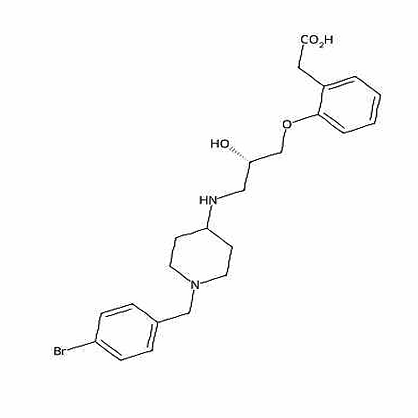 O=C(O)Cc1ccccc1OC[C@@H](O)CNC1CCN(Cc2ccc(Br)cc2)CC1